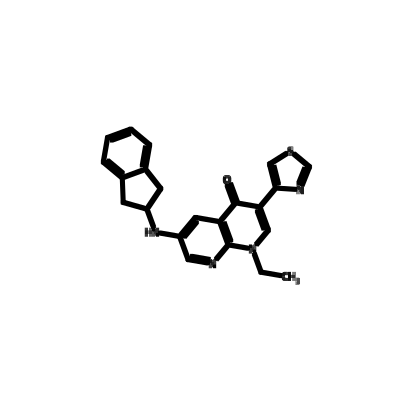 CCn1cc(-c2cscn2)c(=O)c2cc(NC3Cc4ccccc4C3)cnc21